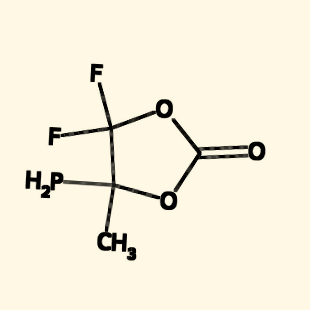 CC1(P)OC(=O)OC1(F)F